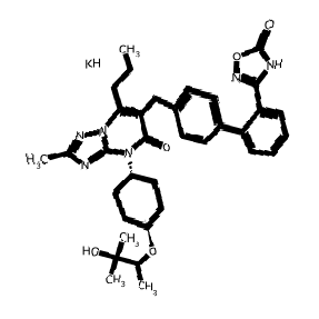 CCCc1c(Cc2ccc(-c3ccccc3-c3noc(=O)[nH]3)cc2)c(=O)n([C@H]2CC[C@H](OC(C)C(C)(C)O)CC2)c2nc(C)nn12.[KH]